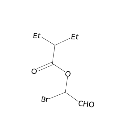 CCC(CC)C(=O)OC(Br)C=O